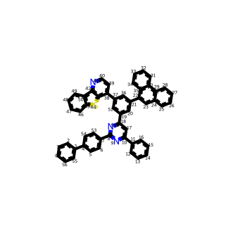 c1ccc(-c2ccc(-c3nc(-c4ccccc4)cc(-c4cc(-c5cc6ccccc6c6ccccc56)cc(-c5ccnc6c5sc5ccccc56)c4)n3)cc2)cc1